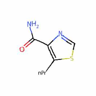 CCCc1scnc1C(N)=O